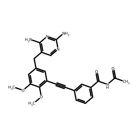 COc1cc(Cc2cnc(N)nc2N)cc(C#Cc2cccc(C(=O)NC(C)=O)c2)c1OC